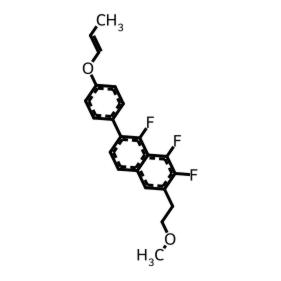 C/C=C/Oc1ccc(-c2ccc3cc(CCOC)c(F)c(F)c3c2F)cc1